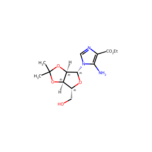 CCOC(=O)c1ncn([C@@H]2O[C@H](CO)[C@H]3OC(C)(C)O[C@H]32)c1N